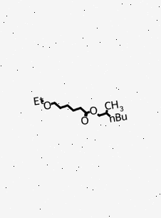 CCCCC(C)COC(=O)CCCCCOCC